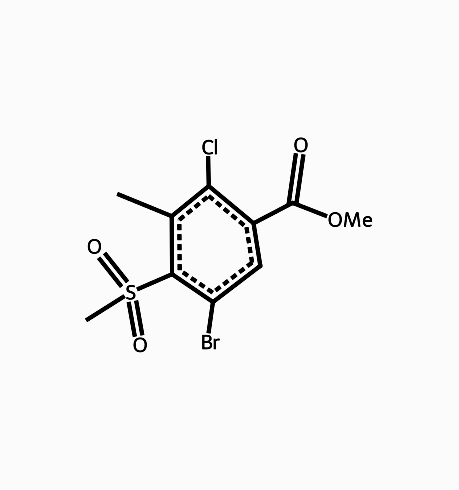 COC(=O)c1cc(Br)c(S(C)(=O)=O)c(C)c1Cl